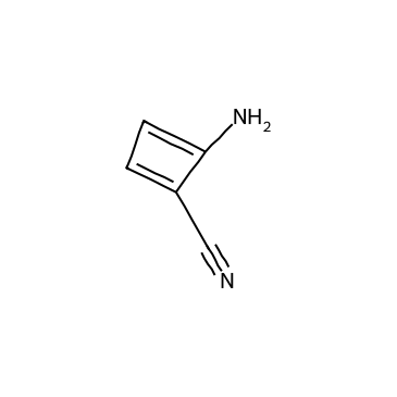 N#CC1=CC=C1N